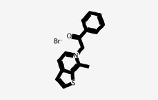 Cc1c2sccc2cc[n+]1CC(=O)c1ccccc1.[Br-]